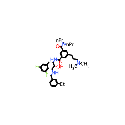 CCCN(CCC)C(=O)c1cc(CCCN(C)C)cc(C(=O)N[C@@H](Cc2cc(F)cc(F)c2)[C@H](O)CNCc2cccc(CC)c2)c1